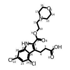 O=C(O)CCc1c(C(=O)OCCN2CCOCC2)[nH]c2cc(Cl)cc(Cl)c12